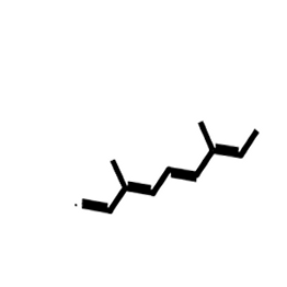 [CH]=C/C(C)=C/C=C/C(C)=C/C